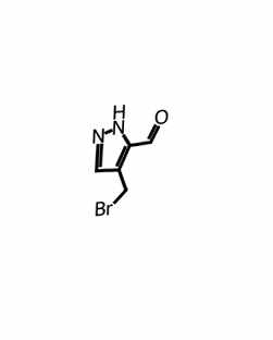 O=Cc1[nH]ncc1CBr